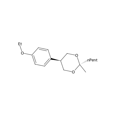 CCCCC[C@]1(C)OC[C@@H](c2ccc(OCC)cc2)CO1